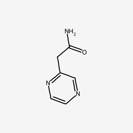 NC(=O)Cc1cnccn1